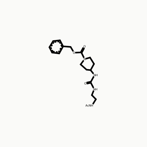 CC(=O)NCCNC(=O)NC1CCN(C(=O)OCc2ccccc2)CC1